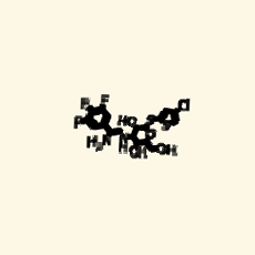 N/C(=C\NC1C(O)C(CO)OC(Sc2cc(Cl)cs2)C1O)c1cc(F)c(F)c(F)c1